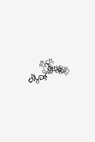 CC(C)(C)c1cc(NC(=O)c2csc3c2CCN(C(=O)c2cnc4ccccn24)C3)n(CCO[Si](C)(C)C(C)(C)C)n1